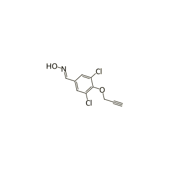 C#CCOc1c(Cl)cc(/C=N/O)cc1Cl